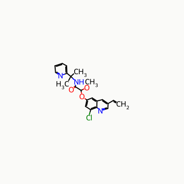 C=Cc1cnc2c(Cl)cc(OC(OC)C(=O)NC(C)(C)c3ccccn3)cc2c1